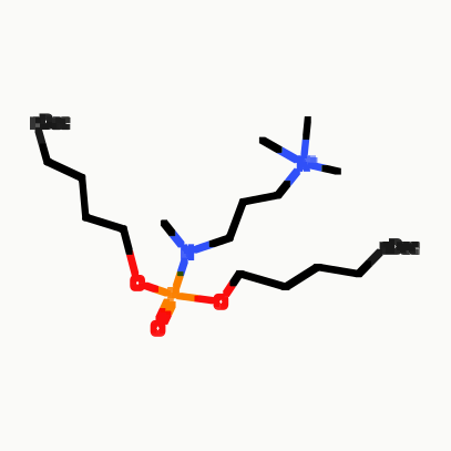 CCCCCCCCCCCCCCOP(=O)(OCCCCCCCCCCCCCC)N(C)CCC[N+](C)(C)C